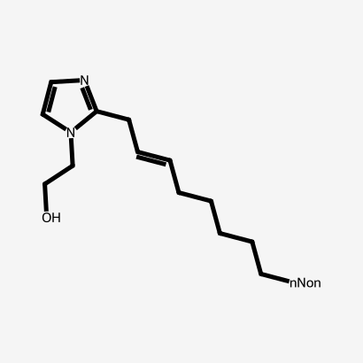 CCCCCCCCCCCCCCC=CCc1nccn1CCO